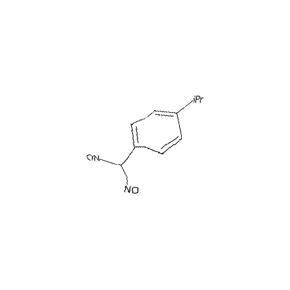 CC(C)c1ccc(C(N=O)N=O)cc1